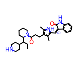 CCC(C1CCNCC1)C1CCCCN1C(=O)CCc1c(C)[nH]c(/C=C2\C(=O)Nc3ccccc32)c1C